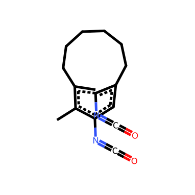 Cc1c(N=C=O)cc2c(N=C=O)c1CCCCCC2